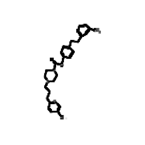 Cc1ccc(CCCN2CCN(C(=O)Oc3ccc(CCc4cc(C)ccn4)cc3)CC2)nc1